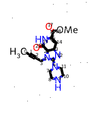 CC#CCN1C(N2CCNCC2)=NC2C=C(C(=O)OC)NC(=O)C21